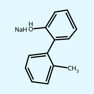 Cc1ccccc1-c1ccccc1O.[NaH]